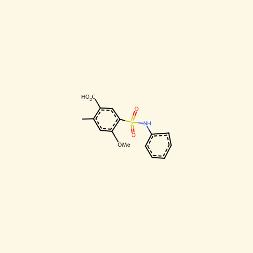 COc1cc(C)c(C(=O)O)cc1S(=O)(=O)Nc1ccccc1